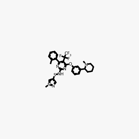 Cc1ccccc1-c1nc(NSc2cnn(C)c2)nc(Oc2cccc(C3CCCCN3C)c2)c1C(F)(F)C(F)(F)F